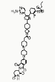 CCCS(=O)(=O)Nc1cccc(-c2nc(C3CCC4(CC3)CN(C(=O)CC3CCN(C5CCN(c6ccc7c(c6)C(=O)N([C@@H]6CCC(=O)NC6=O)C7=O)CC5)CC3)C4)sc2-c2ccnc(N)n2)c1F